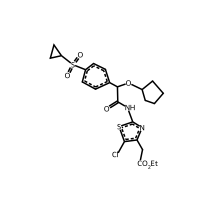 CCOC(=O)Cc1nc(NC(=O)C(OC2CCCC2)c2ccc(S(=O)(=O)C3CC3)cc2)sc1Cl